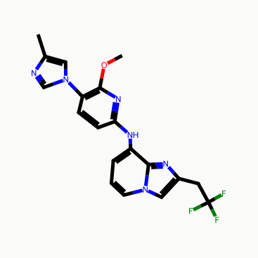 COc1nc(Nc2cccn3cc(CC(F)(F)F)nc23)ccc1-n1cnc(C)c1